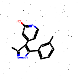 Cc1cccc(-c2[nH]nc(C)c2-c2ccnc(O)c2)c1